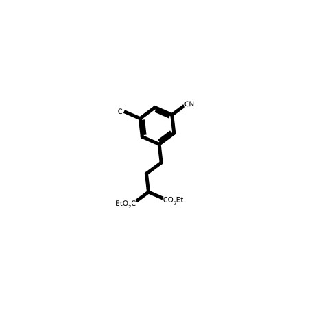 CCOC(=O)C(CCc1cc(Cl)cc(C#N)c1)C(=O)OCC